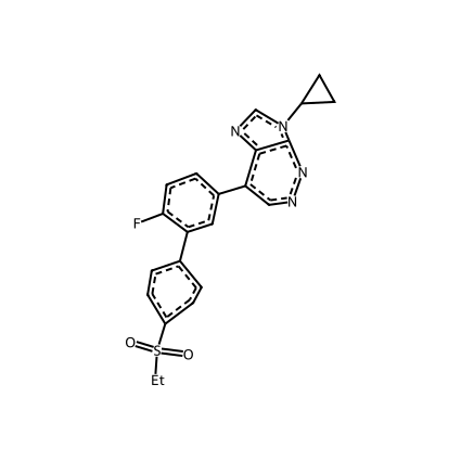 CCS(=O)(=O)c1ccc(-c2cc(-c3cnnc4c3ncn4C3CC3)ccc2F)cc1